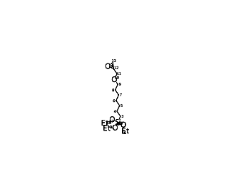 CCO[Si](CCCCCCCOCC1CO1)(OCC)OCC